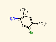 Cc1cc(S(=O)(=O)O)c(Br)cc1N